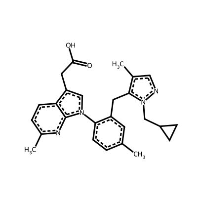 Cc1ccc(-n2cc(CC(=O)O)c3ccc(C)nc32)c(Cc2c(C)cnn2CC2CC2)c1